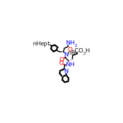 CCCCCCCc1ccc(C[C@@H](CC(N)=O)N(CCCC)C(=O)[C@H](CCCC(=O)O)NC(=O)c2ccc3ccccc3n2)cc1